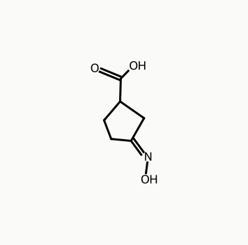 O=C(O)C1CCC(=NO)C1